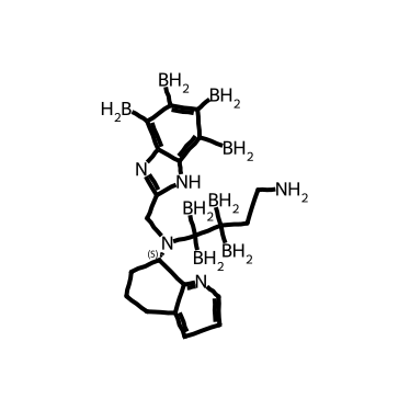 Bc1c(B)c(B)c2[nH]c(CN([C@H]3CCCc4cccnc43)C(B)(B)C(B)(B)CCN)nc2c1B